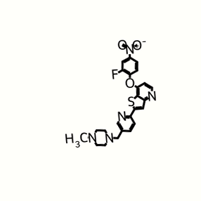 CN1CCN(Cc2ccc(-c3cc4nccc(Oc5ccc([N+](=O)[O-])cc5F)c4s3)nc2)CC1